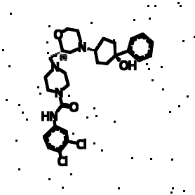 O=C(Nc1ccc(Cl)c(Cl)c1)N1CCN(C[C@H]2CN([C@H]3CC[C@@](O)(c4ccccc4)CC3)CCO2)CC1